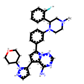 CC(=O)N1CCN(c2cccc(-c3cc(-c4ccnn4C4CCOCC4)c4c(N)ncnn34)c2)C(c2ccccc2F)C1